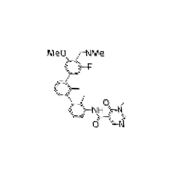 CNCc1c(F)cc(-c2cccc(-c3cccc(NC(=O)c4cncn(C)c4=O)c3C)c2C)cc1OC